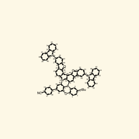 CC(C)(C)c1ccc2c(c1)B1c3c(cc(-c4ccc(C#N)cc4)cc3-n3c4ccc5c6cc(-n7c8ccccc8c8ccccc87)ccc6oc5c4c4c5oc6ccc(-n7c8ccccc8c8ccccc87)cc6c5cc1c43)O2